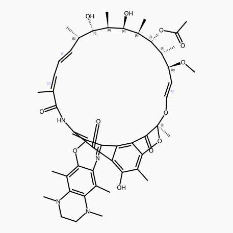 CO[C@H]1/C=C/O[C@@]2(C)Oc3c(C)c(O)c4c(=O)c(c5oc6c(C)c7c(c(C)c6nc-5c4c3C2=O)N(C)CCN7C)NC(=O)/C(C)=C\C=C\[C@H](C)[C@H](O)[C@@H](C)[C@@H](O)[C@@H](C)[C@H](OC(C)=O)[C@@H]1C